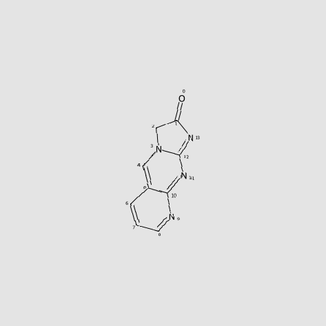 O=C1CN2C=c3cccnc3=NC2=N1